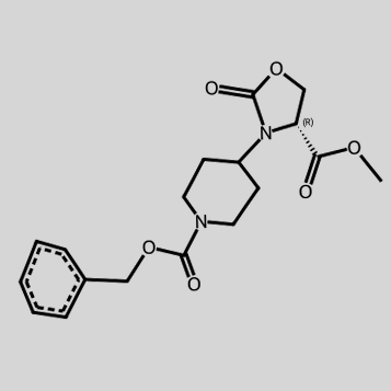 COC(=O)[C@H]1COC(=O)N1C1CCN(C(=O)OCc2ccccc2)CC1